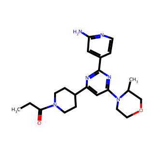 CCC(=O)N1CCC(c2cc(N3CCOCC3C)nc(-c3ccnc(N)c3)n2)CC1